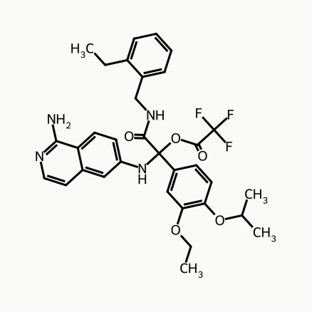 CCOc1cc(C(Nc2ccc3c(N)nccc3c2)(OC(=O)C(F)(F)F)C(=O)NCc2ccccc2CC)ccc1OC(C)C